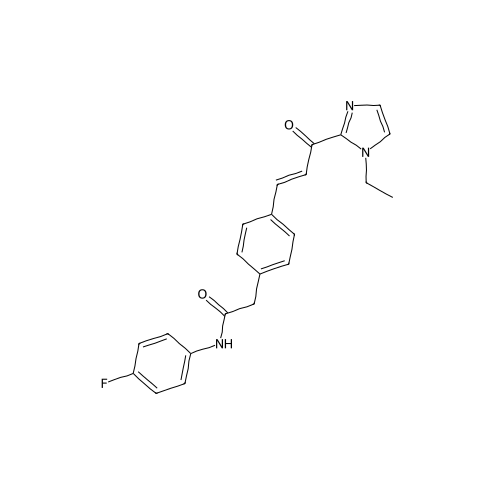 CCn1ccnc1C(=O)/C=C/c1ccc(CC(=O)Nc2ccc(F)cc2)cc1